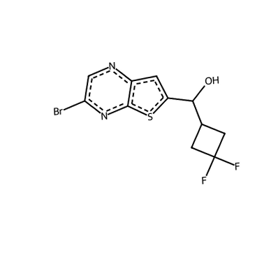 OC(c1cc2ncc(Br)nc2s1)C1CC(F)(F)C1